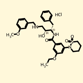 CCOc1cc(C(=O)N[C@@H](Cc2ccccc2)[C@H](O)CNCc2cccc(OC)c2)cc(N2CCCCS2(=O)=O)c1.Cl